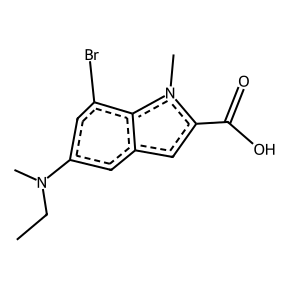 CCN(C)c1cc(Br)c2c(c1)cc(C(=O)O)n2C